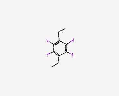 CCc1c(I)c(I)c(CC)c(I)c1I